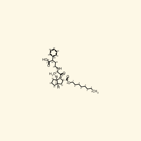 CCCCCCCCOC(=O)[C@@H]1C[C@@H]2CCC[C@@H]2N1C(=O)[C@H](C)NCCC(C(=O)O)c1ccccc1